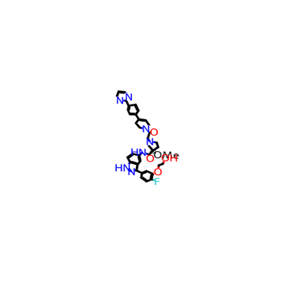 CO[C@@]1(C(=O)Nc2ccc3[nH]nc(-c4ccc(F)c(OCCO)c4)c3c2)CCN(CC(=O)N2CC=C(c3ccc(-c4ncccn4)cc3)CC2)C1